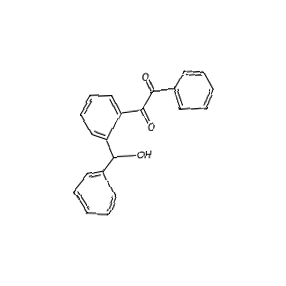 O=C(C(=O)c1ccccc1C(O)c1ccccc1)c1ccccc1